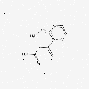 NN.O=C(O)CC(=O)c1ccccc1